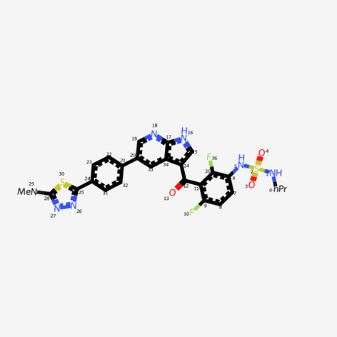 CCCNS(=O)(=O)Nc1ccc(F)c(C(=O)c2c[nH]c3ncc(-c4ccc(-c5nnc(NC)s5)cc4)cc23)c1F